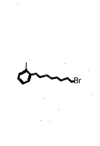 BrCCCCCCCCc1ccccc1I